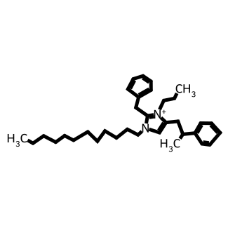 CCCCCCCCCCCCn1cc(CC(C)c2ccccc2)[n+](CCC)c1Cc1ccccc1